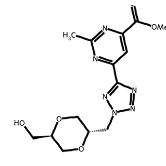 COC(=O)c1cc(-c2nnn(C[C@H]3CO[C@H](CO)CO3)n2)nc(C)n1